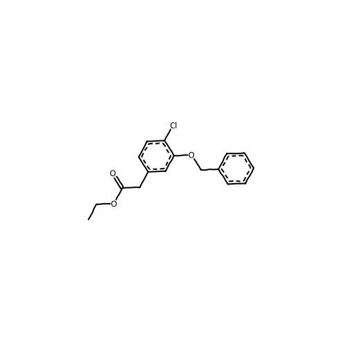 CCOC(=O)Cc1ccc(Cl)c(OCc2ccccc2)c1